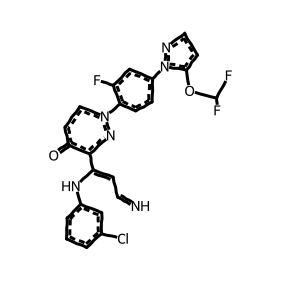 N=C/C=C(\Nc1cccc(Cl)c1)c1nn(-c2ccc(-n3nccc3OC(F)F)cc2F)ccc1=O